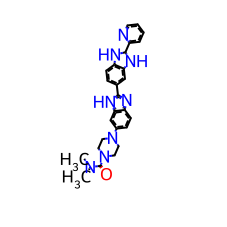 CN(C)C(=O)N1CCN(c2ccc3nc(-c4ccc5c(c4)NC(c4ccccn4)N5)[nH]c3c2)CC1